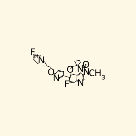 Cn1c(=O)n2c3c4c(c(-c5ccc(OCCCN6CC[C@H](F)C6)nc5)c(F)cc4ncc31)OCC21CCC1